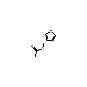 COC(C)=O.c1ccoc1